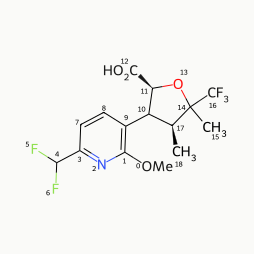 COc1nc(C(F)F)ccc1C1[C@@H](C(=O)O)OC(C)(C(F)(F)F)[C@H]1C